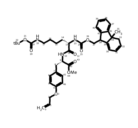 C=CCOc1ccc(C[C@H](NC(=O)[C@H](CCCCNC(=O)OC(C)(C)C)NC(=O)OCC2C3=CC=CCC3(C)c3ccccc32)C(=O)OC)cc1